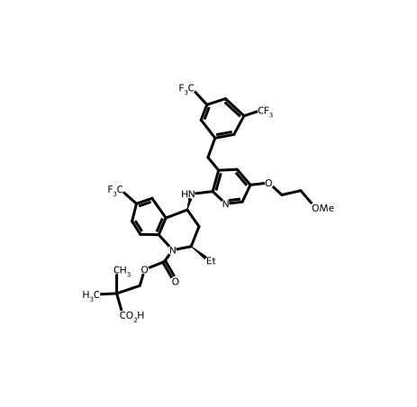 CC[C@@H]1C[C@H](Nc2ncc(OCCOC)cc2Cc2cc(C(F)(F)F)cc(C(F)(F)F)c2)c2cc(C(F)(F)F)ccc2N1C(=O)OCC(C)(C)C(=O)O